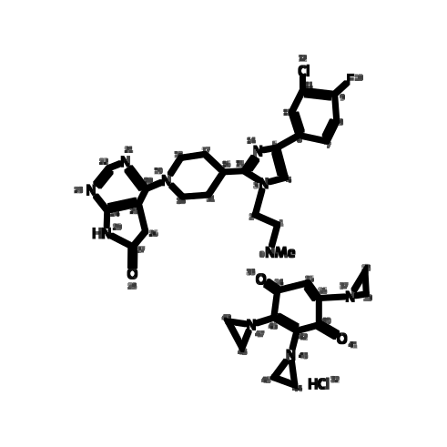 CNCCn1cc(-c2ccc(F)c(Cl)c2)nc1C1CCN(c2ncnc3c2CC(=O)N3)CC1.Cl.O=C1C=C(N2CC2)C(=O)C(N2CC2)=C1N1CC1